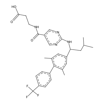 Cc1cc(C(CC(C)C)Nc2ncc(C(=O)NCCC(=O)O)cn2)cc(C)c1-c1ccc(C(F)(F)F)cc1